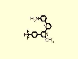 Cc1cc(-c2ccc(C(F)(F)F)cc2)cc(-c2cccc(-c3cccc(N)c3)n2)n1